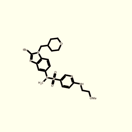 COCCNc1ccc(S(=O)(=O)N(C)c2ccc3c(c2)nc(C(C)(C)C)n3CC2CCOCC2)cn1